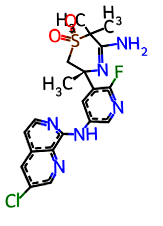 CC1(C)C(N)=N[C@](C)(c2cc(Nc3nccc4cc(Cl)cnc34)cnc2F)CS1(=O)=O